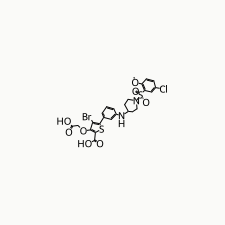 COc1ccc(Cl)cc1S(=O)(=O)N1CCC(Nc2cccc(-c3sc(C(=O)O)c(OCC(=O)O)c3Br)c2)CC1